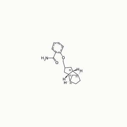 NC(=O)c1ccccc1OCC1C[C@@H]2[C@H]3CC[C@H](C3)[C@@H]2C1